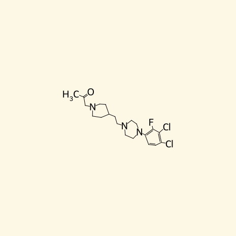 CC(=O)CN1CCC(CCN2CCN(c3ccc(Cl)c(Cl)c3F)CC2)CC1